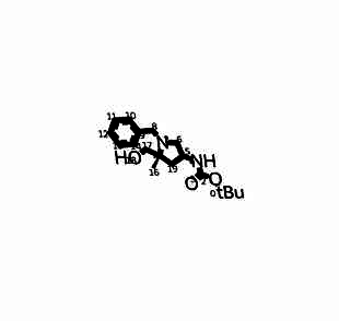 CC(C)(C)OC(=O)NC1CN(Cc2ccccc2)[C@@](C)(CO)C1